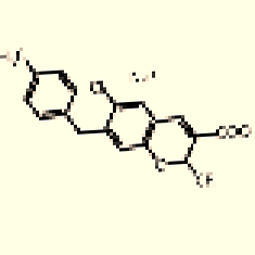 Cc1ccc(Cc2cc3c(cc2Cl)C=C(C(=O)[O-])C(C(F)(F)F)O3)cc1.[Na+]